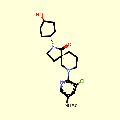 CC(=O)Nc1cnc(N2CCC[C@]3(CCN([C@H]4CC[C@H](O)CC4)C3=O)C2)c(Cl)c1